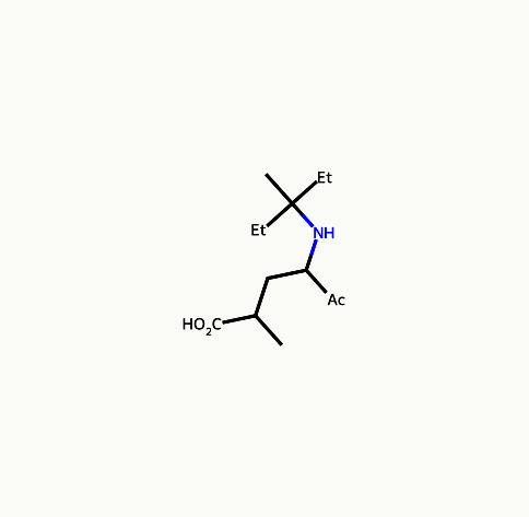 CCC(C)(CC)NC(CC(C)C(=O)O)C(C)=O